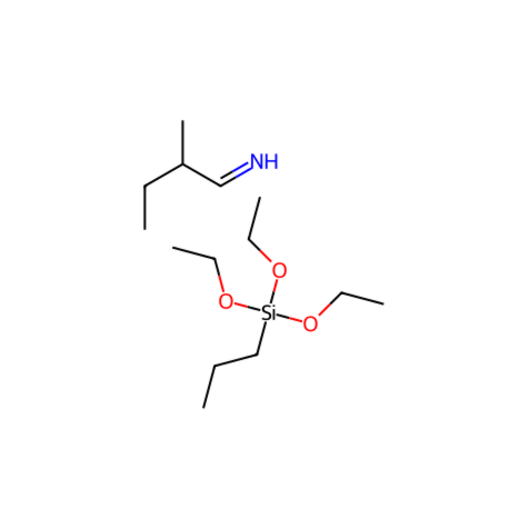 CCC(C)C=N.CCC[Si](OCC)(OCC)OCC